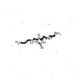 NCCNCCNCCNCCN.OB(O)O